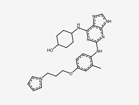 Cc1cc(OCCCn2cccc2)ccc1Nc1nc(NC2CCC(O)CC2)c2nc[nH]c2n1